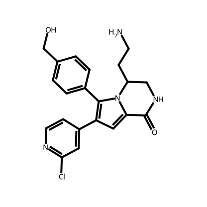 NCCC1CNC(=O)c2cc(-c3ccnc(Cl)c3)c(-c3ccc(CO)cc3)n21